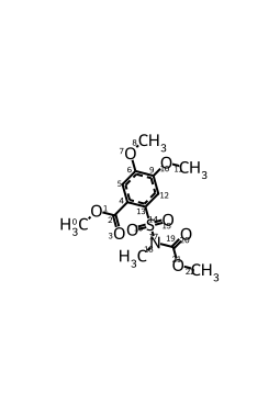 COC(=O)c1cc(OC)c(OC)cc1S(=O)(=O)N(C)C(=O)OC